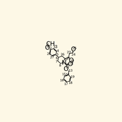 COc1ccc(C2CCN(C(=O)OCc3ccccc3)C(C(=O)CC=O)C2)cc1